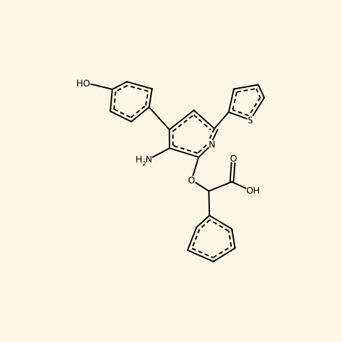 Nc1c(-c2ccc(O)cc2)cc(-c2cccs2)nc1OC(C(=O)O)c1ccccc1